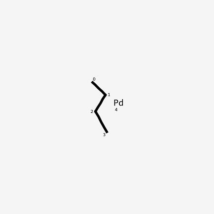 CCCC.[Pd]